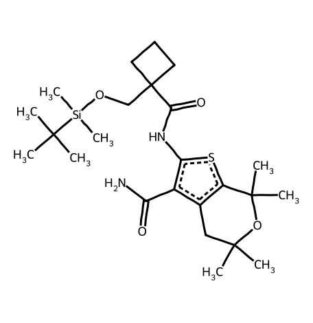 CC1(C)Cc2c(sc(NC(=O)C3(CO[Si](C)(C)C(C)(C)C)CCC3)c2C(N)=O)C(C)(C)O1